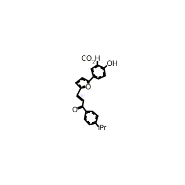 CC(C)c1ccc(C(=O)/C=C/c2ccc(-c3ccc(O)c(C(=O)O)c3)o2)cc1